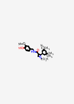 COc1cc(CNC(=O)C2CN(C(=O)O)C2C2CC(C)(C)CC(C)(C)C2)ccc1O